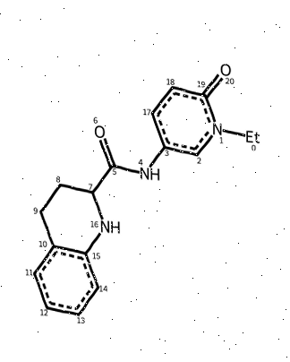 CCn1cc(NC(=O)C2CCc3ccccc3N2)ccc1=O